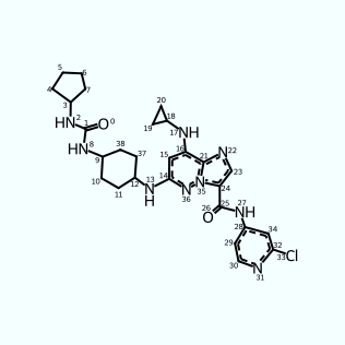 O=C(NC1CCCC1)NC1CCC(Nc2cc(NC3CC3)c3ncc(C(=O)Nc4ccnc(Cl)c4)n3n2)CC1